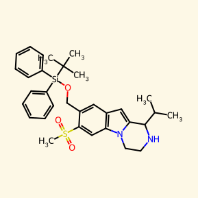 CC(C)C1NCCn2c1cc1cc(CO[Si](c3ccccc3)(c3ccccc3)C(C)(C)C)c(S(C)(=O)=O)cc12